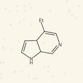 CCC1=CN=CC2NC=CC12